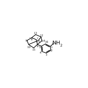 Nc1cccc(C23C[C]4CC(CC(C4)C2)C3)c1